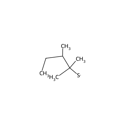 CCC(C)C(C)(C)[S]